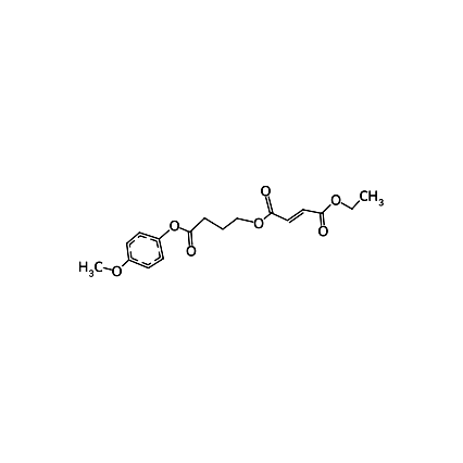 CCOC(=O)C=CC(=O)OCCCC(=O)Oc1ccc(OC)cc1